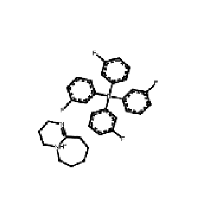 C1CCC2=NCCC[NH+]2CC1.Fc1cccc([B-](c2cccc(F)c2)(c2cccc(F)c2)c2cccc(F)c2)c1